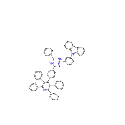 c1ccc(-c2nc(-c3ccccc3)c(-c3ccccc3)c(-c3ccc(C4N=C(c5cccc(-n6c7ccccc7c7ccccc76)c5)NC(c5ccccc5)N4)cc3)c2-c2ccccc2)cc1